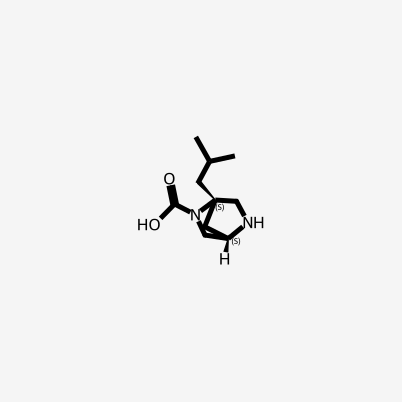 CC(C)C[C@]12CN[C@H](CN1C(=O)O)C2